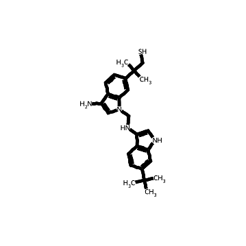 CC(C)(C)c1ccc2c(NCn3cc(N)c4ccc(C(C)(C)CS)cc43)c[nH]c2c1